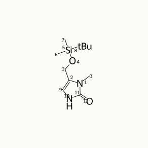 Cn1c(CO[Si](C)(C)C(C)(C)C)c[nH]c1=O